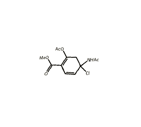 COC(=O)C1=C(OC(C)=O)CC(Cl)(NC(C)=O)C=C1